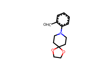 O=Cc1ccccc1N1CCC2(CC1)OCCO2